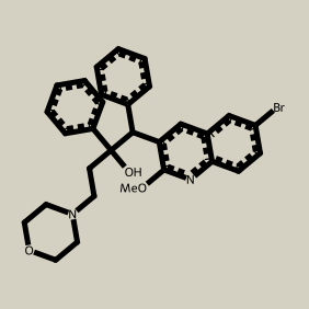 COc1nc2ccc(Br)cc2cc1C(c1ccccc1)C(O)(CCN1CCOCC1)c1ccccc1